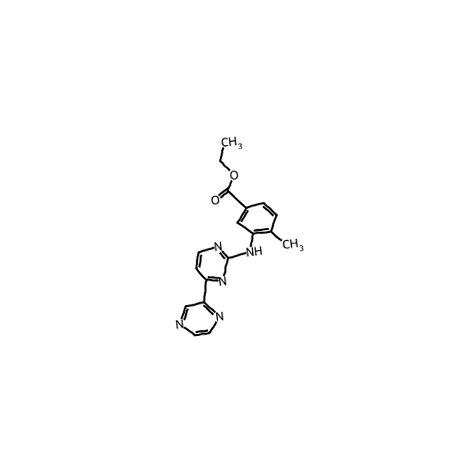 CCOC(=O)c1ccc(C)c(Nc2nccc(-c3cnccn3)n2)c1